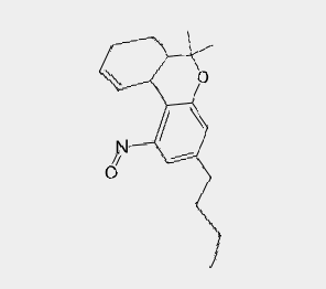 CCCCc1cc(N=O)c2c(c1)OC(C)(C)C1CCC=CC21